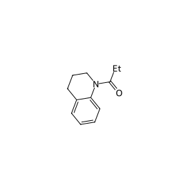 CCC(=O)N1CCCc2ccccc21